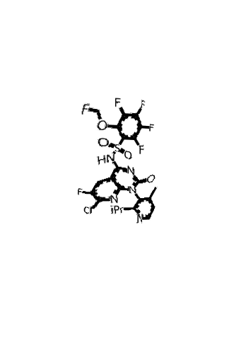 Cc1ccnc(C(C)C)c1-n1c(=O)nc(NS(=O)(=O)c2c(F)c(F)c(F)c(F)c2OCF)c2cc(F)c(Cl)nc21